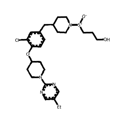 CCc1cnc(N2CCC(Oc3ccc(CC4CCN([S+]([O-])CCCO)CC4)cc3Cl)CC2)nc1